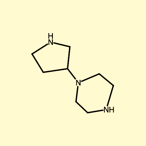 C1CN(C2CCNC2)CCN1